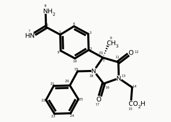 C[C@]1(c2ccc(C(=N)N)cc2)C(=O)N(CC(=O)O)C(=O)N1Cc1ccccc1